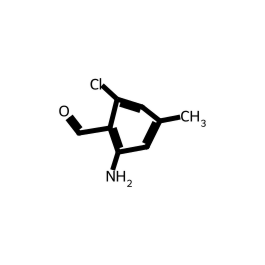 Cc1cc(N)c(C=O)c(Cl)c1